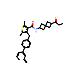 C=C/C=C(\C=C/C)c1ccc(Cc2c(C)sc(C)c2C(=O)NC2CC3(C2)CC(C(=O)CC)C3)cc1